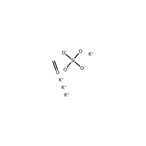 C=O.[K+].[K+].[K+].[K+].[O-][Si]([O-])([O-])[O-]